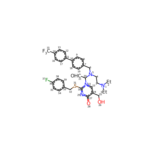 CCN(CC)CCN(Cc1ccc(-c2ccc(C(F)(F)F)cc2)cc1)C(C=O)n1cc(CO)c(=O)nc1SCc1ccc(F)cc1